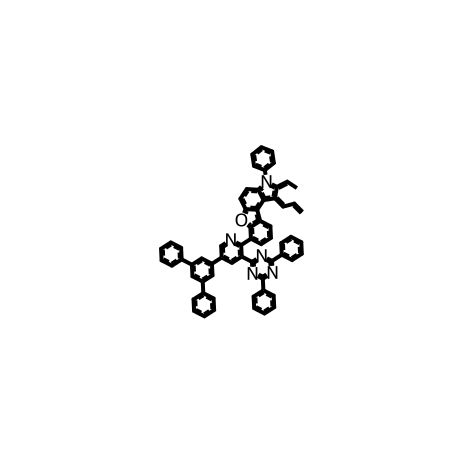 C=C/C=c1\c(=C/C)n(-c2ccccc2)c2ccc3oc4c(-c5ncc(-c6cc(-c7ccccc7)cc(-c7ccccc7)c6)cc5-c5nc(-c6ccccc6)nc(-c6ccccc6)n5)cccc4c3c12